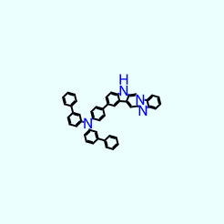 c1ccc(-c2cccc(N(c3ccc(-c4ccc5[nH]c6cn7c(cc6c5c4)nc4ccccc47)cc3)c3cccc(-c4ccccc4)c3)c2)cc1